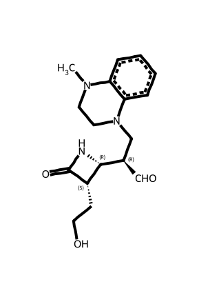 CN1CCN(C[C@@H](C=O)[C@H]2NC(=O)[C@H]2CCO)c2ccccc21